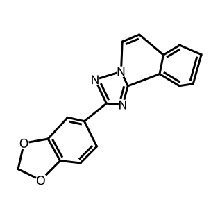 c1ccc2c(c1)ccn1nc(-c3ccc4c(c3)OCO4)nc21